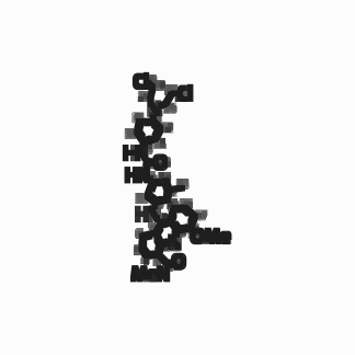 CNC(=O)c1cccc2c(Nc3cc(C)cc(NC(=O)Nc4ccc(N(CCCl)CCCl)cc4)c3)c3cccc(OC)c3nc12